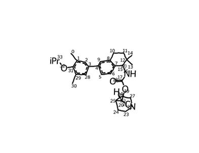 Cc1cc(-c2ccc3c(c2)CCC(C)(C)[C@H]3NC(=O)O[C@@H]2CN3CCC2CC3)cc(C)c1OC(C)C